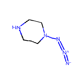 [N-]=[N+]=NN1CCNCC1